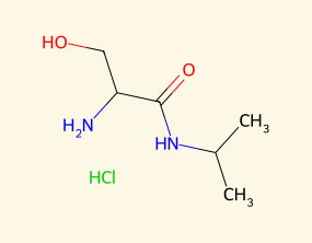 CC(C)NC(=O)C(N)CO.Cl